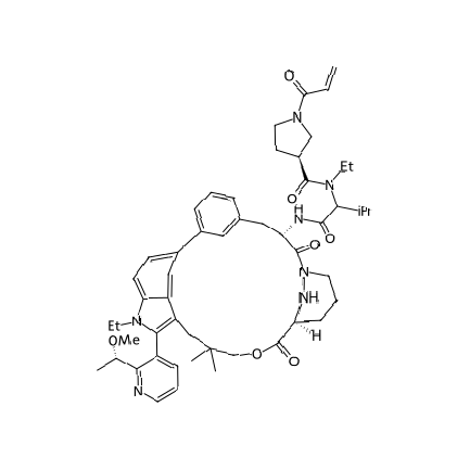 C=CC(=O)N1CC[C@H](C(=O)N(CC)C(C(=O)N[C@H]2Cc3cccc(c3)-c3ccc4c(c3)c(c(-c3cccnc3[C@H](C)OC)n4CC)CC(C)(C)COC(=O)[C@@H]3CCCN(N3)C2=O)C(C)C)C1